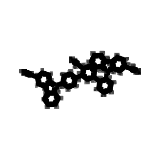 N#Cc1ccc2c(c1)c1ccccc1n2-c1ccc(-c2cc(-c3ccccc3-n3c4ccccc4c4ccc(C#N)cc43)ccc2C#N)cc1